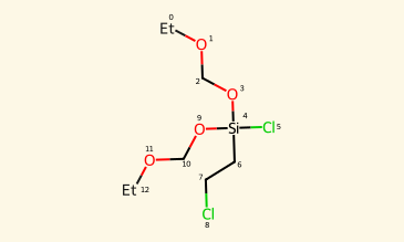 CCOCO[Si](Cl)(CCCl)OCOCC